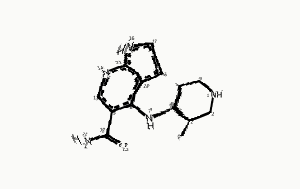 C[C@@H]1CNCC[C@@H]1Nc1c(C(N)=O)cnc2[nH]ccc12